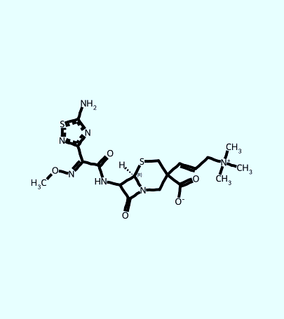 CON=C(C(=O)NC1C(=O)N2CC(C=CC[N+](C)(C)C)(C(=O)[O-])CS[C@H]12)c1nsc(N)n1